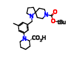 Cc1cc(CN2CCCC23CCN(C(=O)OC(C)(C)C)CC3)cc(N2CCCC[C@H]2C(=O)O)c1